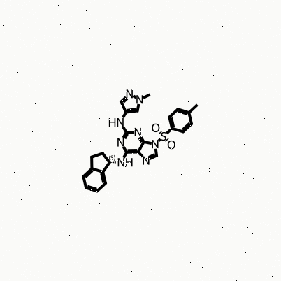 Cc1ccc(S(=O)(=O)n2cnc3c(N[C@H]4CCc5ccccc54)nc(Nc4cnn(C)c4)nc32)cc1